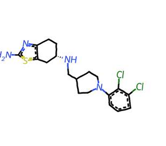 Nc1nc2c(s1)C[C@@H](NCC1CCN(c3cccc(Cl)c3Cl)CC1)CC2